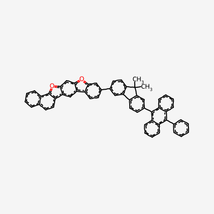 CC1(C)c2ccc(-c3ccc4c(c3)oc3cc5oc6c7ccccc7ccc6c5cc34)cc2-c2ccc(-c3c4ccccc4c(-c4ccccc4)c4ccccc34)cc21